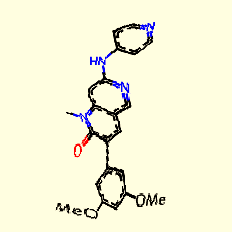 COc1cc(OC)cc(-c2cc3cnc(Nc4ccncc4)cc3n(C)c2=O)c1